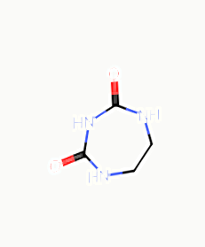 O=C1NCCNC(=O)N1